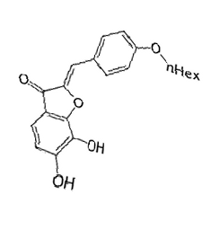 CCCCCCOc1ccc(C=C2Oc3c(ccc(O)c3O)C2=O)cc1